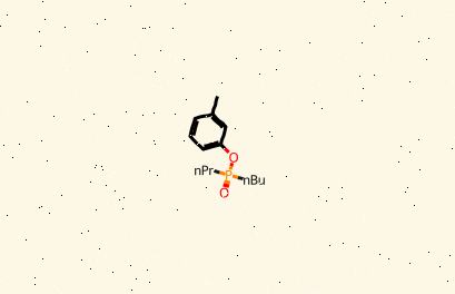 CCCCP(=O)(CCC)Oc1cccc(C)c1